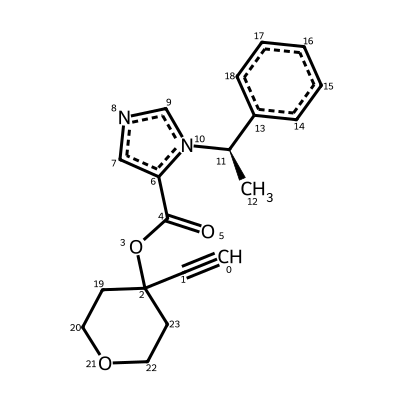 C#CC1(OC(=O)c2cncn2[C@H](C)c2ccccc2)CCOCC1